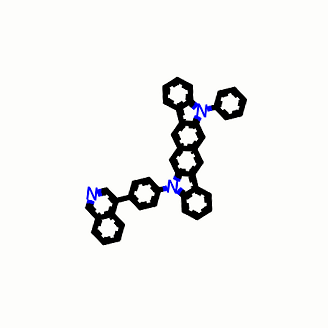 c1ccc(-n2c3ccccc3c3cc4cc5c(cc4cc32)c2ccccc2n5-c2ccc(-c3cncc4ccccc34)cc2)cc1